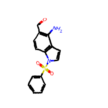 Nc1c(C=O)ccc2c1ccn2S(=O)(=O)c1ccccc1